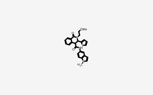 COCCN1C(=O)c2ccccc2C(C(=O)Nc2ccc3c(ccn3C)c2)C1c1cccs1